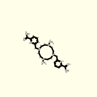 CN1CCN(Cc2cccc(C(=O)O)n2)CCN(C)CCN(Cc2cccc(C(=O)O)n2)CC1